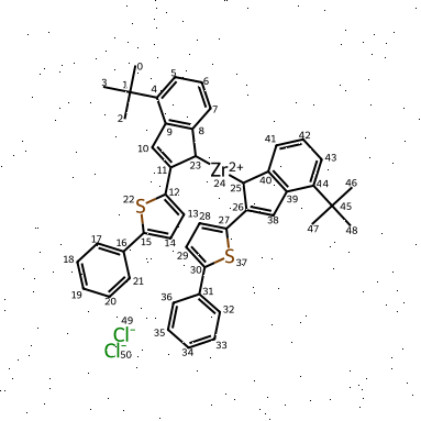 CC(C)(C)c1cccc2c1C=C(c1ccc(-c3ccccc3)s1)[CH]2[Zr+2][CH]1C(c2ccc(-c3ccccc3)s2)=Cc2c1cccc2C(C)(C)C.[Cl-].[Cl-]